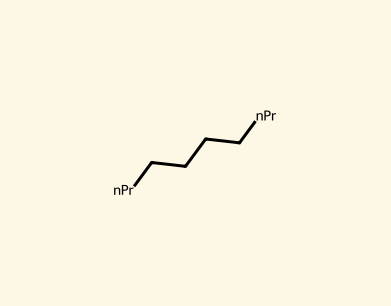 C[C]CCCCCCCC